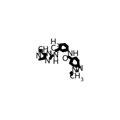 CCn1cnc2ccc(C(=O)Nc3cccc([C@H](C)Nc4cnc5cnn(C)c5n4)c3)cc21